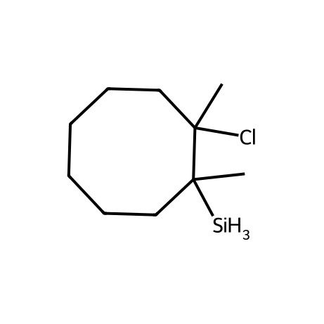 CC1([SiH3])CCCCCCC1(C)Cl